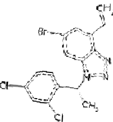 C=Cc1cc(Br)cc2c1nnn2[C@H](C)c1ccc(Cl)cc1Cl